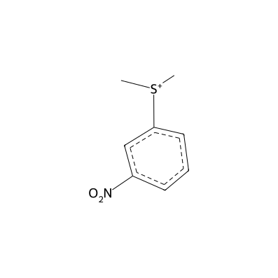 C[S+](C)c1cccc([N+](=O)[O-])c1